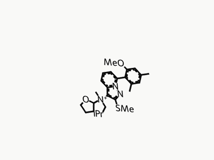 COc1cc(C)cc(C)c1-c1cccc2c([N+](C)(CC(C)C)C3CCCO3)c(SC)nn12